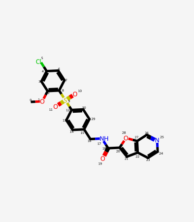 COc1cc(Cl)ccc1S(=O)(=O)c1ccc(CNC(=O)c2cc3ccncc3o2)cc1